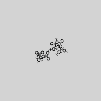 Cc1cc2c3c(c1)Oc1c(n(-c4ccccc4)c4ccccc14)P3(=O)c1ccc(N(c3ccccc3)c3ccc(CC(C)(C)c4ccc5sc6c(c5c4)N(c4ccccc4)c4cc(C(C)C)cc5c4P6(=S)c4cc(N(c6ccc(C(C)C)cc6C)c6ccc(C(C)C)cc6C)ccc4N5c4ccccc4)cc3)cc1O2